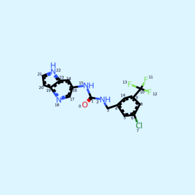 O=C(NCc1cc(Cl)cc(C(F)(F)F)c1)Nc1cnc2cc[nH]c2c1